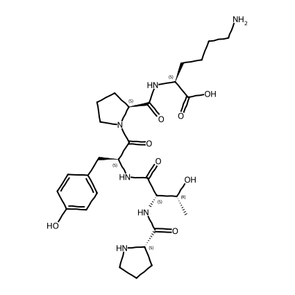 C[C@@H](O)[C@H](NC(=O)[C@@H]1CCCN1)C(=O)N[C@@H](Cc1ccc(O)cc1)C(=O)N1CCC[C@H]1C(=O)N[C@@H](CCCCN)C(=O)O